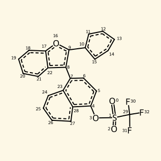 O=S(=O)(Oc1ccc(-c2c(-c3ccccc3)oc3ccccc23)c2ccccc12)C(F)(F)F